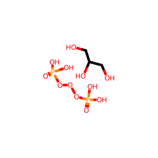 O=P(O)(O)OOOP(=O)(O)O.OCC(O)CO